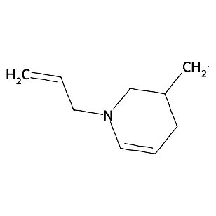 [CH2]C1CC=CN(CC=C)C1